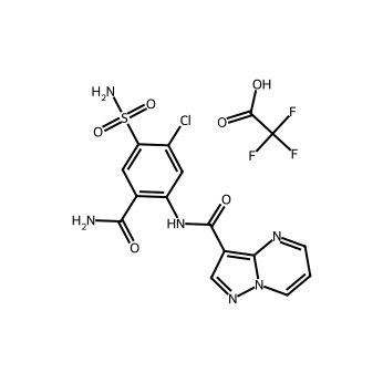 NC(=O)c1cc(S(N)(=O)=O)c(Cl)cc1NC(=O)c1cnn2cccnc12.O=C(O)C(F)(F)F